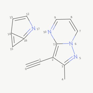 C#Cc1c(C)nn2cccnc12.c1cc2cc-2n1